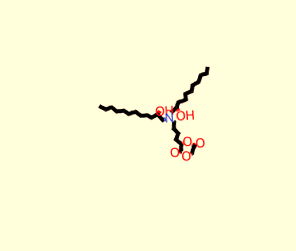 CCCCCCCCCCC(O)CN(CCCCC1OC(=O)COC1=O)CC(O)CCCCCCCCC